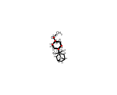 [2H]C([2H])(c1ccc(OC)nc1)N1C2CC1CN(c1cnc(Cl)cn1)C2